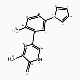 Nc1nc(-c2cc(-n3cccc3)ccc2O)c[nH]c1=O